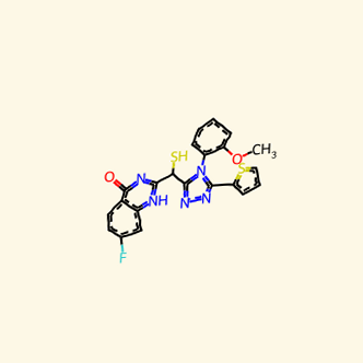 COc1ccccc1-n1c(-c2cccs2)nnc1C(S)c1nc(=O)c2ccc(F)cc2[nH]1